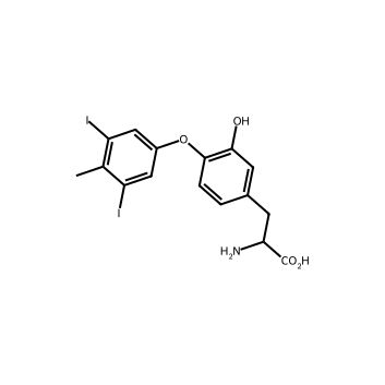 Cc1c(I)cc(Oc2ccc(CC(N)C(=O)O)cc2O)cc1I